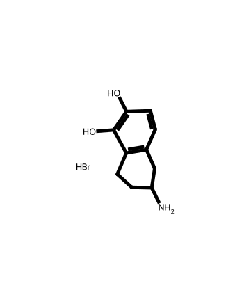 Br.NC1CCc2c(ccc(O)c2O)C1